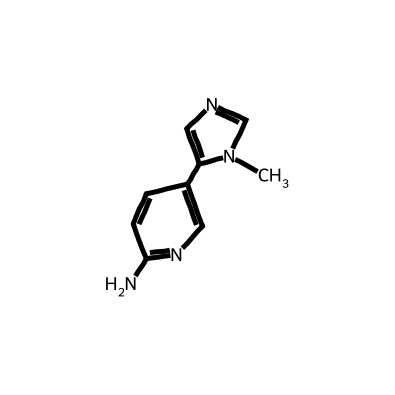 Cn1cncc1-c1ccc(N)nc1